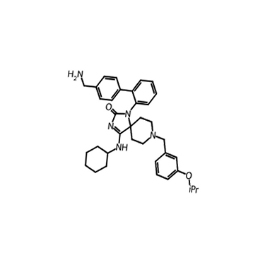 CC(C)Oc1cccc(CN2CCC3(CC2)C(NC2CCCCC2)=NC(=O)N3c2ccccc2-c2ccc(CN)cc2)c1